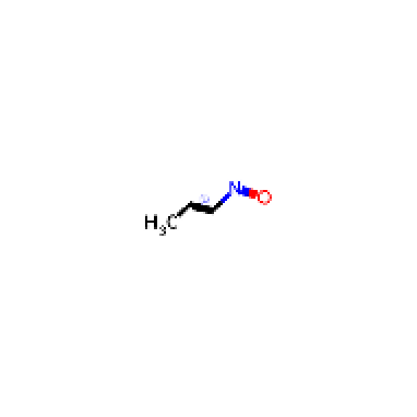 C/C=C/N=O